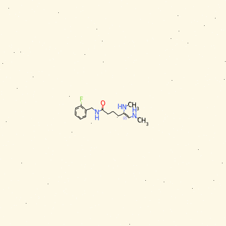 CN/C=C(/CCCC(=O)NCc1ccccc1F)NC